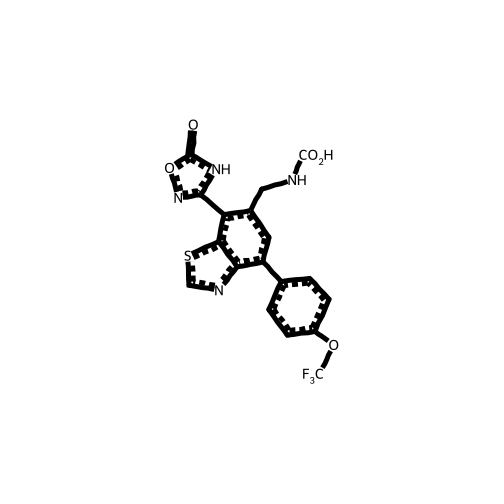 O=C(O)NCc1cc(-c2ccc(OC(F)(F)F)cc2)c2ncsc2c1-c1noc(=O)[nH]1